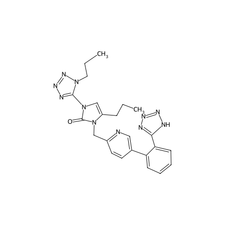 CCCc1cn(-c2nnnn2CCC)c(=O)n1Cc1ccc(-c2ccccc2-c2nnn[nH]2)cn1